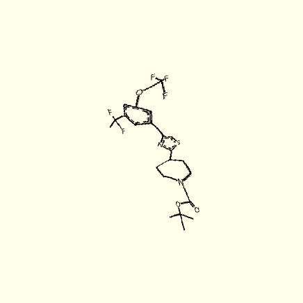 CC(C)(C)OC(=O)N1CCC(c2nc(-c3cc(OC(F)(F)F)cc(C(C)(F)F)c3)cs2)CC1